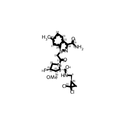 CO[C@H]1[C@@H](C(=O)NC[C@H]2CC2(Cl)Cl)N(C(=O)Cn2nc(C(N)=O)c3ccc(C)cc32)C[C@@H]1F